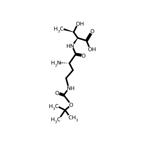 C[C@@H](O)[C@H](NC(=O)[C@@H](N)CCNC(=O)OC(C)(C)C)C(=O)O